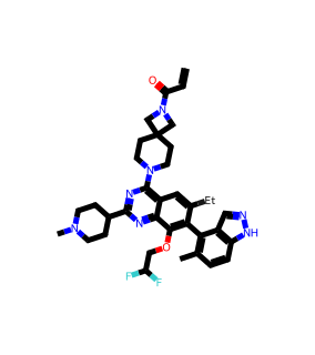 C=CC(=O)N1CC2(CCN(c3nc(C4CCN(C)CC4)nc4c(OCC(F)F)c(-c5c(C)ccc6[nH]ncc56)c(CC)cc34)CC2)C1